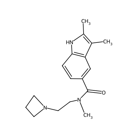 Cc1[nH]c2ccc(C(=O)N(C)CCN3CCC3)cc2c1C